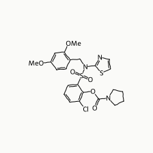 COc1ccc(CN(c2nccs2)S(=O)(=O)c2cccc(Cl)c2OC(=O)N2CCCC2)c(OC)c1